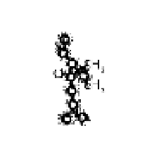 CC1=CC2(c3ccc(-c4ccc5sc6ccccc6c5c4)cc3-c3c(Cl)cc(-c4ccc(-c5ccc(N(c6ccccc6)c6ccccc6)cc5)cc4)cc32)C2CC(C)CC1C2